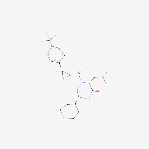 CC(C)C[C@H]1C(=O)N[C@@H](C2CCCCC2)CN1C(=O)[C@@H]1C[C@H]1c1ccc(C(C)(C)C)cc1